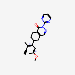 C#C/C(C)=C(\C=C(/C)OC)C1CCc2c(cnn(-c3ncccn3)c2=O)C1